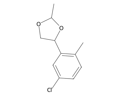 Cc1ccc(Cl)cc1C1COC(C)O1